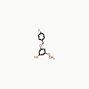 COc1cc(S)cc(OCc2ccc(F)cc2)c1